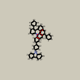 c1ccc(-c2cccc(N(c3ccc(-c4ccc(-n5c6ccccc6c6ccccc65)cc4)cc3)c3cccc(-c4ccccc4)c3-c3ccccc3-c3ccccc3)c2)cc1